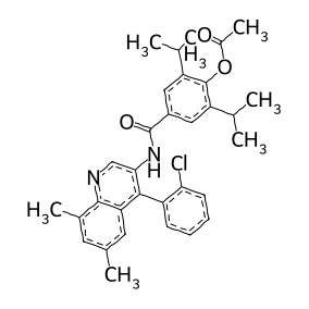 CC(=O)Oc1c(C(C)C)cc(C(=O)Nc2cnc3c(C)cc(C)cc3c2-c2ccccc2Cl)cc1C(C)C